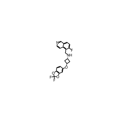 Fc1ccc2cnccc2c1CN[C@H]1C[C@H](Oc2ccc3c(c2)OC(F)(F)O3)C1